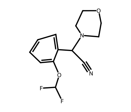 N#CC(c1ccccc1OC(F)F)N1CCOCC1